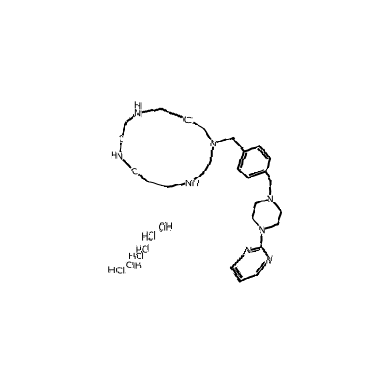 Cl.Cl.Cl.Cl.Cl.Cl.c1cnc(N2CCN(Cc3ccc(CN4CCCNCCNCCCNCC4)cc3)CC2)nc1